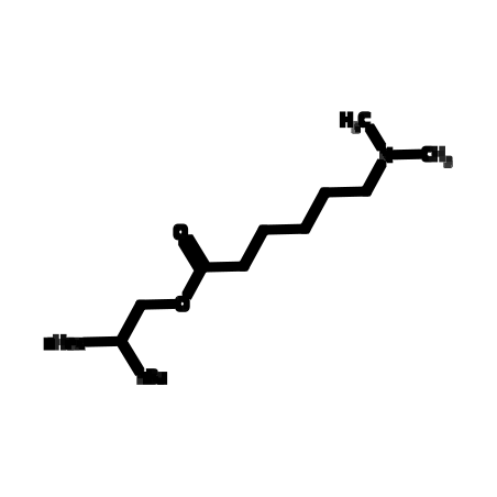 CCCCCCC(CCCC)COC(=O)CCCCCN(C)C